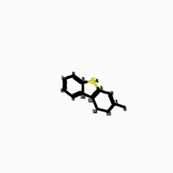 CC1=Cc2sc3ccccc3c2CC1